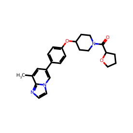 Cc1cc(-c2ccc(OC3CCN(C(=O)C4CCCO4)CC3)cc2)cn2ccnc12